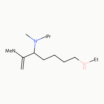 C=C(NC)C(CCCCBCC)N(C)C(C)C